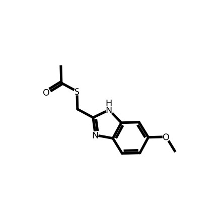 COc1ccc2nc(CSC(C)=O)[nH]c2c1